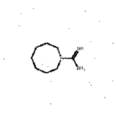 N=C(N)N1CCCCCCC1